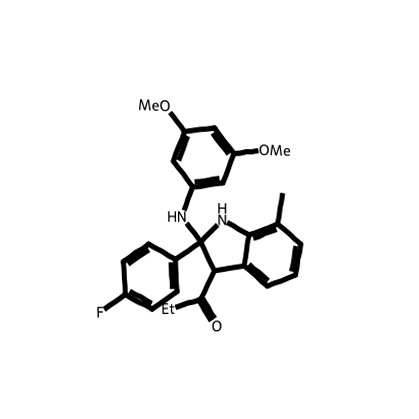 CCC(=O)C1c2cccc(C)c2NC1(Nc1cc(OC)cc(OC)c1)c1ccc(F)cc1